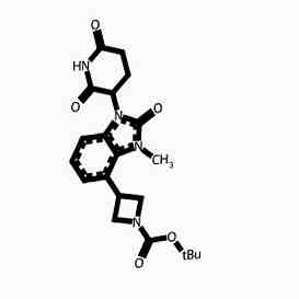 Cn1c(=O)n(C2CCC(=O)NC2=O)c2cccc(C3CN(C(=O)OC(C)(C)C)C3)c21